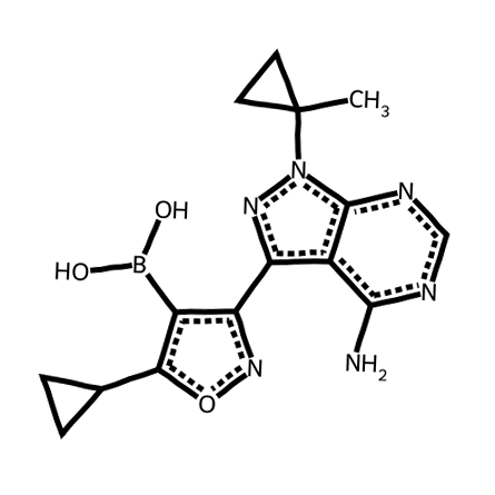 CC1(n2nc(-c3noc(C4CC4)c3B(O)O)c3c(N)ncnc32)CC1